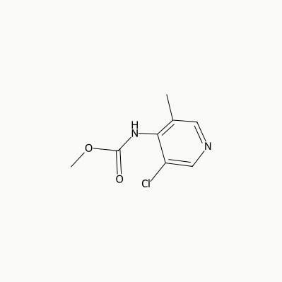 COC(=O)Nc1c(C)cncc1Cl